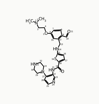 CN(C)CCOc1ccc(C=O)c(CNc2ccc(C(=O)Nc3cnccc3N3CCNCC3)s2)c1